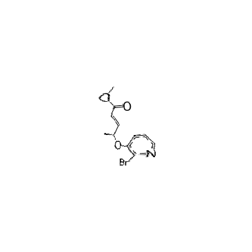 COC(=O)/C=C/[C@H](C)Oc1cccnc1Br